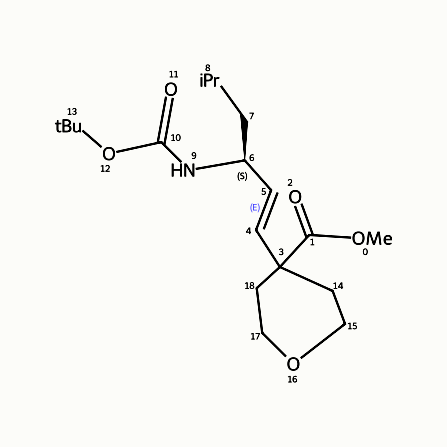 COC(=O)C1(/C=C/[C@H](CC(C)C)NC(=O)OC(C)(C)C)CCOCC1